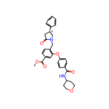 COC(=O)c1ccc(CN2C[C@H](c3ccccc3)CC2=O)c(Oc2ccc(C(=O)NC3CCOCC3)cc2)c1